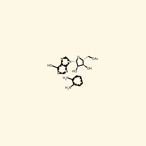 CC(=O)OC[C@H]1O[C@@H](n2cnc3c(O)ncnc32)[C@H](O)[C@@H]1O.Nc1ccccc1N